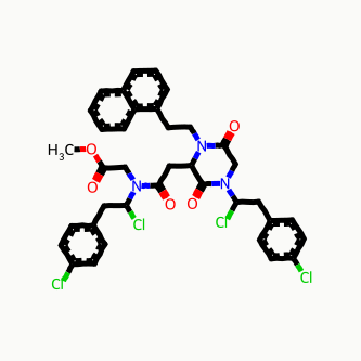 COC(=O)CN(C(=O)CC1C(=O)N(C(Cl)Cc2ccc(Cl)cc2)CC(=O)N1CCc1cccc2ccccc12)C(Cl)Cc1ccc(Cl)cc1